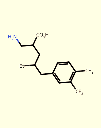 CCC(Cc1ccc(C(F)(F)F)c(C(F)(F)F)c1)CC(CN)C(=O)O